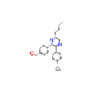 CCCCc1cnc(-c2ccc(C3CC3)cc2)c(-c2ccc(C=O)cc2)n1